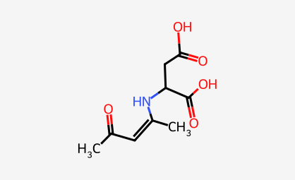 CC(=O)C=C(C)NC(CC(=O)O)C(=O)O